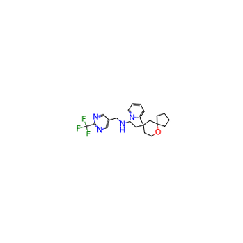 FC(F)(F)c1ncc(CNCCC2(c3ccccn3)CCOC3(CCCC3)C2)cn1